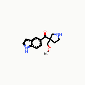 CCOCC1(C(=O)c2ccc3[nH]ccc3c2)CCNC1